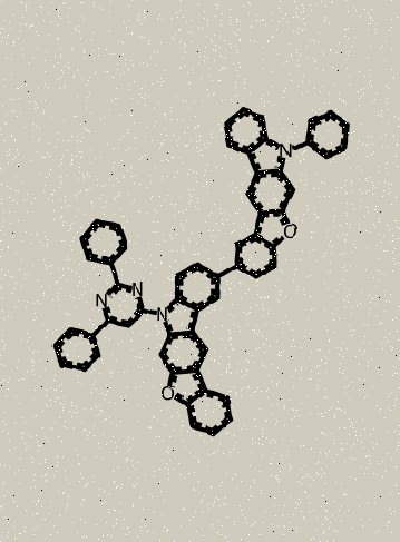 c1ccc(-c2cc(-n3c4ccc(-c5ccc6oc7cc8c(cc7c6c5)c5ccccc5n8-c5ccccc5)cc4c4cc5c(cc43)oc3ccccc35)nc(-c3ccccc3)n2)cc1